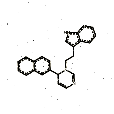 C1=CC(c2ccc3ccccc3c2)N(CCc2c[nH]c3ccccc23)C=N1